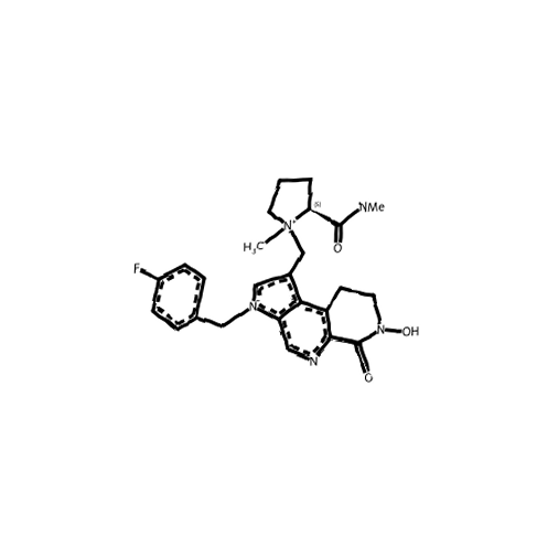 CNC(=O)[C@@H]1CCC[N+]1(C)Cc1cn(Cc2ccc(F)cc2)c2cnc3c(c12)CCN(O)C3=O